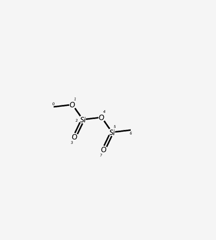 CO[Si](=O)O[Si](C)=O